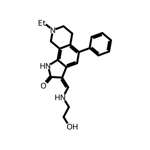 CCN1CCc2c(-c3ccccc3)cc3c(c2C1)NC(=O)C3=CNCCO